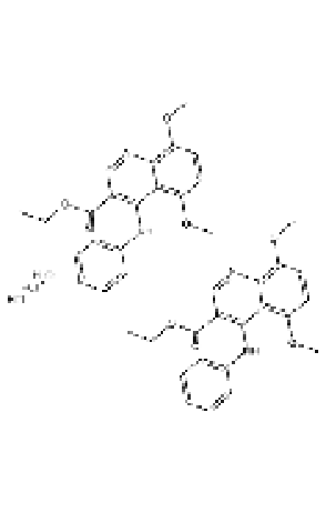 CCOC(=O)c1cnc2c(OC)ccc(OC)c2c1Nc1ccccc1.CCOC(=O)c1cnc2c(OC)ccc(OC)c2c1Nc1ccccc1.Cl.Cl.O